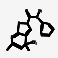 CCN(C(=O)C1C=C2C(=NC(C)=CC2(C)C(F)(F)F)S1)c1ccccc1